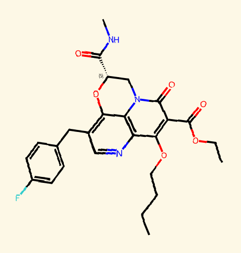 CCCCOc1c(C(=O)OCC)c(=O)n2c3c(c(Cc4ccc(F)cc4)cnc13)O[C@H](C(=O)NC)C2